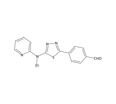 CCN(c1ccccn1)c1nnc(-c2ccc(C=O)cc2)s1